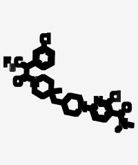 CN(C)C(=O)c1ccc(N2CCC(CC3(C)CCN(C(=O)C(c4cccc(Cl)c4)C(F)(F)F)CC3)CC2)nc1Cl